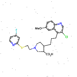 COc1ccc2ncc(Cl)c(CCCC3CCN(CCSc4cc(F)ccn4)CC3C(=O)O)c2c1